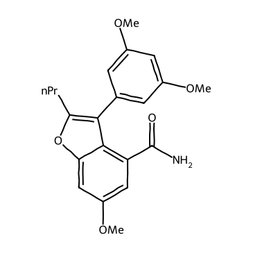 CCCc1oc2cc(OC)cc(C(N)=O)c2c1-c1cc(OC)cc(OC)c1